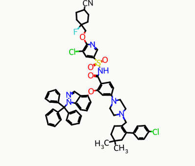 CC1(C)CCC(CN2CCN(c3ccc(C(=O)NS(=O)(=O)c4cnc(OCC5(F)CCC(C#N)CC5)c(Cl)c4)c(Oc4cccc5c4cnn5C(c4ccccc4)(c4ccccc4)c4ccccc4)c3)CC2)=C(c2ccc(Cl)cc2)C1